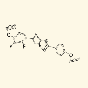 CCCCCCCCOc1ccc(-c2cn3cc(-c4ccc(OCCCCCCCC)c(F)c4F)nc3s2)cc1